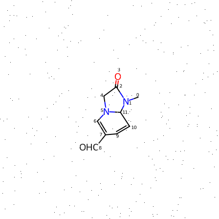 CN1C(=O)CN2C=C(C=O)C=CC21